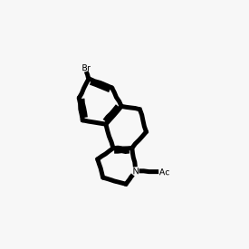 CC(=O)N1CCCC2=C1CCc1cc(Br)ccc12